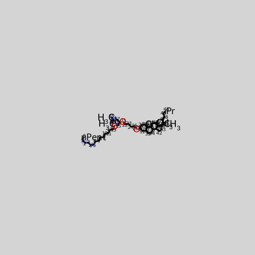 CCCCC/C=C\C/C=C\CCCCCCCCOCC(CN(C)C)OCCCCO[C@H]1CC[C@@]2(C)C(=CCC3C2CC[C@@]2(C)C3CC[C@@H]2[C@H](C)CCCC(C)C)C1